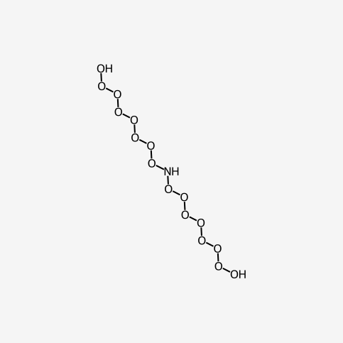 OOOOOOOONOOOOOOOO